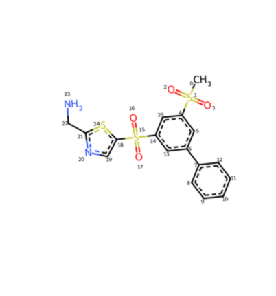 CS(=O)(=O)c1cc(-c2ccccc2)cc(S(=O)(=O)c2cnc(CN)s2)c1